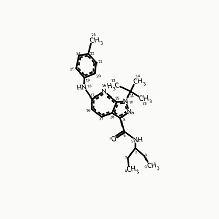 CCC(CC)NC(=O)c1nn(C(C)(C)C)c2nc(Nc3ccc(C)cc3)ccc12